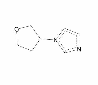 c1cn(C2CCOC2)cn1